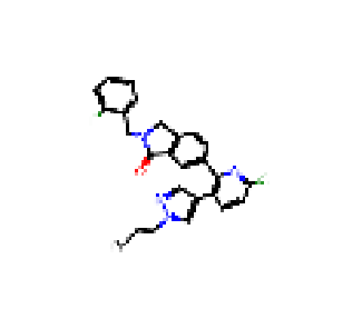 CC(C)CCn1cc(-c2ccc(Cl)nc2-c2ccc3c(c2)C(=O)N(Cc2ccccc2F)C3)cn1